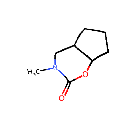 CN1CC2CCCC2OC1=O